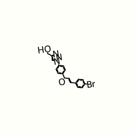 O=C(C=Cc1ccc(Br)cc1)c1ccc(-n2cc(CO)nn2)cc1